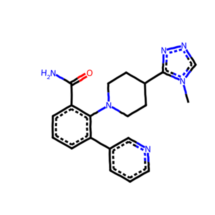 Cn1cnnc1C1CCN(c2c(C(N)=O)cccc2-c2cccnc2)CC1